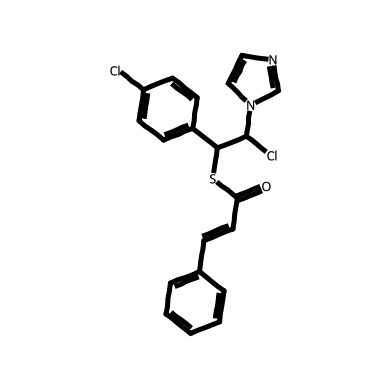 O=C(C=Cc1ccccc1)SC(c1ccc(Cl)cc1)C(Cl)n1ccnc1